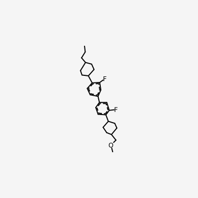 CCCC1CCC(c2ccc(-c3ccc(C4CCC(COC)CC4)c(F)c3)cc2F)CC1